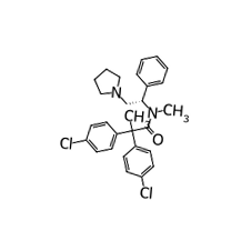 CN(C(=O)C(C)(c1ccc(Cl)cc1)c1ccc(Cl)cc1)[C@H](CN1CCCC1)c1ccccc1